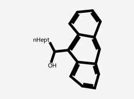 CCCCCCCC(O)c1c2ccccc2cc2ccccc12